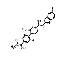 C[C@@H]1CN(C(O)Nc2nc3ccc(F)cc3s2)CCN1c1ncc([C@@H](O)[C@@H](C)O)cc1F